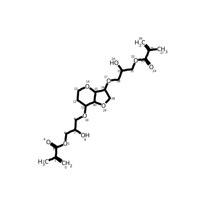 C=C(C)C(=O)OCC(O)COC1CCOC2C(OCC(O)COC(=O)C(=C)C)COC12